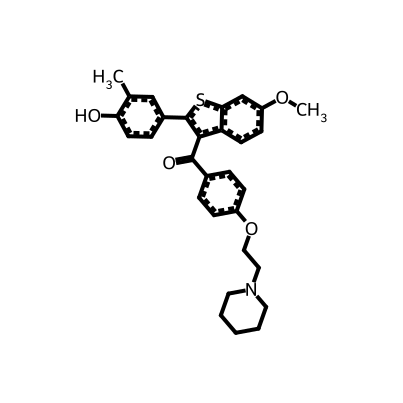 COc1ccc2c(C(=O)c3ccc(OCCN4CCCCC4)cc3)c(-c3ccc(O)c(C)c3)sc2c1